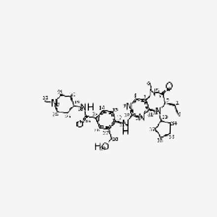 CC[C@@H]1C(=O)N(C)c2cnc(Nc3ccc(C(=O)NC4CCN(C)CC4)cc3CO)nc2N1C1CCCC1